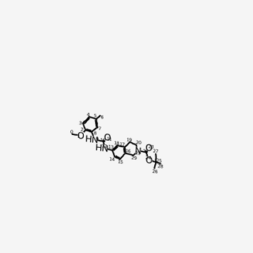 COc1ccc(C)cc1NC(=O)Nc1ccc2c(c1)CCN(C(=O)OC(C)(C)C)C2